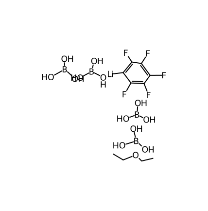 CCOCC.OB(O)O.OB(O)O.OB(O)O.OB(O)O.[Li][c]1c(F)c(F)c(F)c(F)c1F